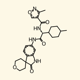 Cc1nocc1C(=O)N[C@H](C(=O)Nc1ccc2c(c1)NC(=O)C21CCOCC1)C1CCC(C)CC1